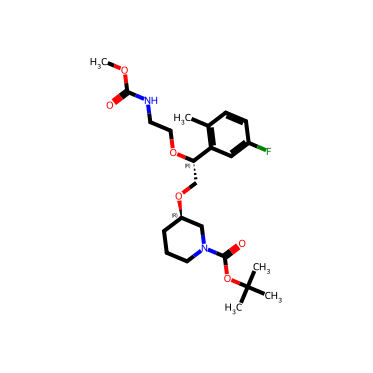 COC(=O)NCCO[C@@H](CO[C@@H]1CCCN(C(=O)OC(C)(C)C)C1)c1cc(F)ccc1C